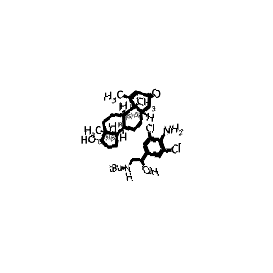 CC(C)(C)NCC(O)c1cc(Cl)c(N)c(Cl)c1.CC1=CC(=O)C[C@@H]2CC[C@H]3[C@@H]4CC[C@H](O)[C@@]4(C)CC[C@@H]3[C@@]12C